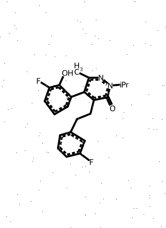 Cc1nn(C(C)C)c(=O)c(CCc2cccc(F)c2)c1-c1cccc(F)c1O